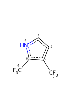 FC(F)(F)c1cc[nH]c1C(F)(F)F